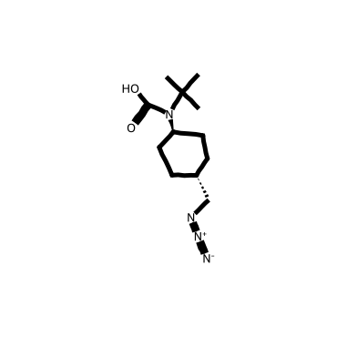 CC(C)(C)N(C(=O)O)[C@H]1CC[C@H](CN=[N+]=[N-])CC1